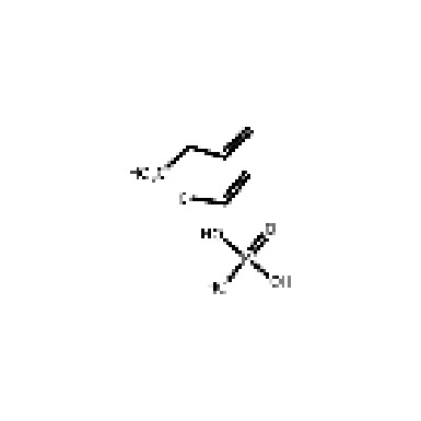 C=CCC(=O)O.C=CCl.O=P(O)(O)O